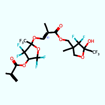 C=C(C)C(=O)OC1C(F)(F)OC(O/C=C(\C)C(=O)OCC2(C)COC(O)(C(F)(F)F)C2(F)F)(C(F)(F)F)C1(F)F